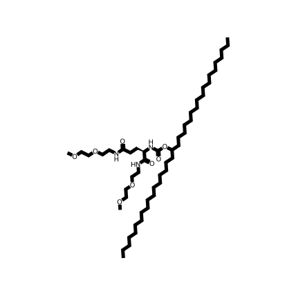 CCCCCCCCCCCCCCCCCCC(CCCCCCCCCCCCCCCCC)OC(=O)N[C@H](CCC(=O)NCCOCCOC)C(=O)NCCOCCOC